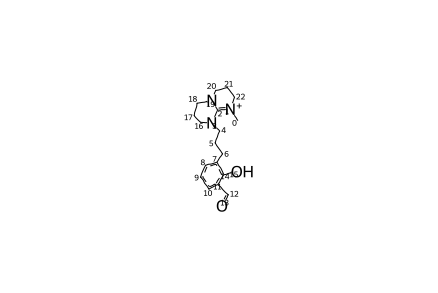 C[N+]1=C2N(CCCc3cccc(C=O)c3O)CCCN2CCC1